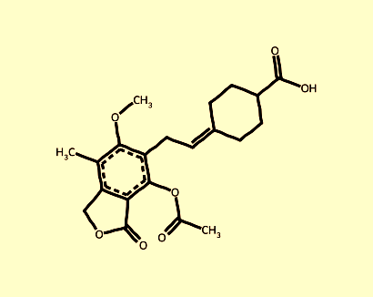 COc1c(C)c2c(c(OC(C)=O)c1CC=C1CCC(C(=O)O)CC1)C(=O)OC2